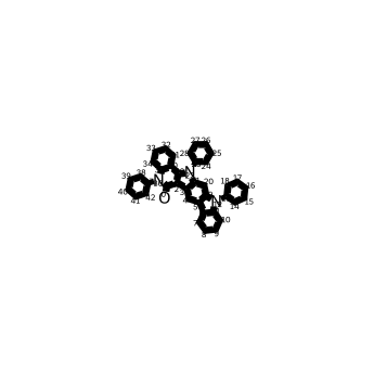 O=c1c2c3cc4c5ccccc5n(-c5ccccc5)c4cc3n(-c3ccccc3)c2c2ccccc2n1-c1ccccc1